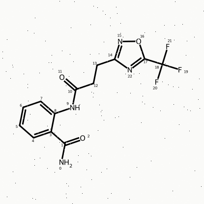 NC(=O)c1ccccc1NC(=O)CCc1noc(C(F)(F)F)n1